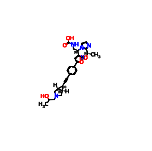 CC(O)CN1C[C@@H]2[C@H](C#Cc3ccc(-c4cc([C@@H](CNC(=O)O)n5ccnc5[C@H](C)O)no4)cc3)[C@@H]2C1